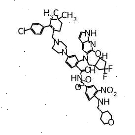 CC1(C)CCC(CN2CCN(c3ccc(C(=O)NS(=O)(=O)c4ccc(NCC5CCOCC5)c([N+](=O)[O-])c4)c(N4C[C@@H]5CC(F)(F)C[C@H]5Oc5nc6[nH]ccc6cc54)c3)CC2)=C(c2ccc(Cl)cc2)C1